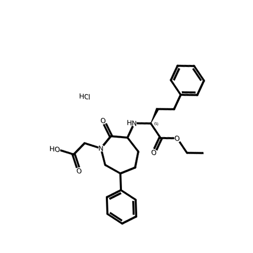 CCOC(=O)[C@H](CCc1ccccc1)NC1CCC(c2ccccc2)CN(CC(=O)O)C1=O.Cl